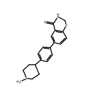 CN1CCC(c2ccc(-c3ccc4c(c3)C(=O)NCO4)cc2)CC1